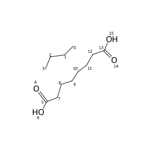 CCCC.O=C(O)CCCCCCC(=O)O